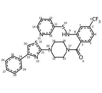 O=C(c1ccc(C(F)(F)F)cc1NSc1cccnc1)N1CCN(c2nc(-c3ccccc3)cs2)CC1